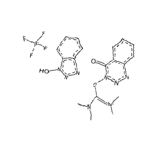 CN(C)C(On1nnc2ccccc2c1=O)=[N+](C)C.F[B-](F)(F)F.On1nnc2ccccc21